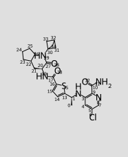 C[C@H](Nc1cc(Cl)cnc1C(N)=O)c1ccc(C(=O)N[C@@H](CC2CCCC2)C(=O)NC23CC(C2)C3)s1